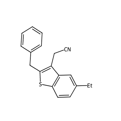 CCc1ccc2sc(Cc3ccccc3)c(CC#N)c2c1